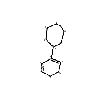 C1=CC(N2CCCCC2)=CCC1